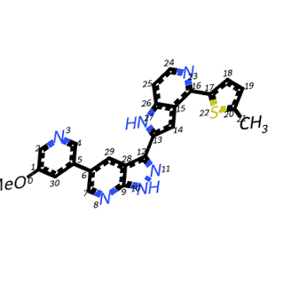 COc1cncc(-c2cnc3[nH]nc(-c4cc5c(-c6ccc(C)s6)nccc5[nH]4)c3c2)c1